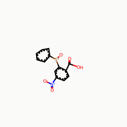 O=C(O)c1ccc([N+](=O)[O-])cc1[S+]([O-])c1ccccc1